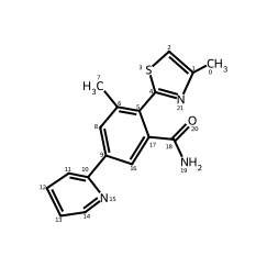 Cc1csc(-c2c(C)cc(-c3ccccn3)cc2C(N)=O)n1